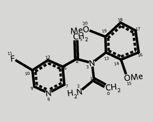 C=C(N)N(C(=C)c1cncc(F)c1)c1c(OC)cccc1OC